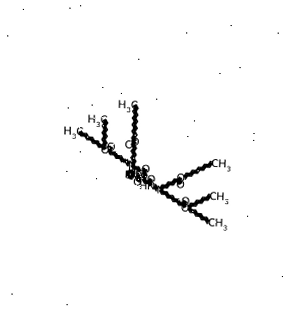 CCCCCCCCCCCOC(=O)CCCCCN(CCCCCCCC(=O)OC(CCCCCCCC)CCCCCCCC)CCNC(=O)CN(CC(=O)NCCN(CCCCCCCC(=O)OC(CCCCCCCC)CCCCCCCC)CCCCCC(=O)OCCCCCCCCCCC)C(=O)CN1CCCC1